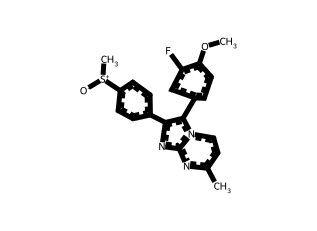 COc1ccc(-c2c(-c3ccc([S+](C)[O-])cc3)nc3nc(C)ccn23)cc1F